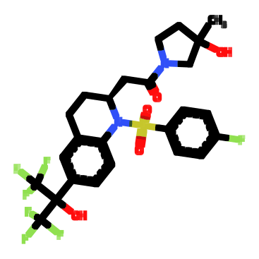 CC1(O)CCN(C(=O)C[C@@H]2CCc3cc(C(O)(C(F)(F)F)C(F)(F)F)ccc3N2S(=O)(=O)c2ccc(F)cc2)C1